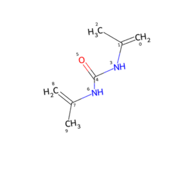 C=C(C)NC(=O)NC(=C)C